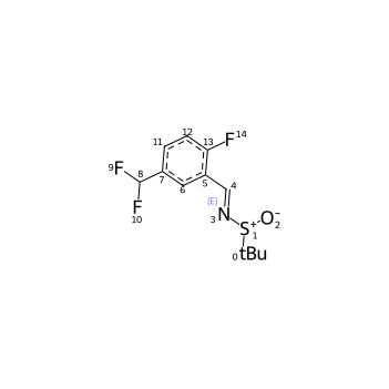 CC(C)(C)[S+]([O-])/N=C/c1cc(C(F)F)ccc1F